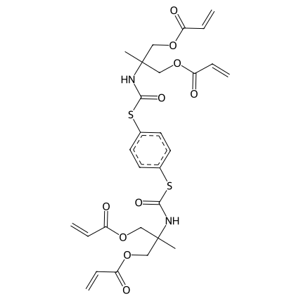 C=CC(=O)OCC(C)(COC(=O)C=C)NC(=O)Sc1ccc(SC(=O)NC(C)(COC(=O)C=C)COC(=O)C=C)cc1